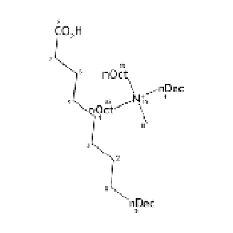 CCCCCCCCCCCCCCCCCC(=O)O.CCCCCCCCCC[N+](C)(CCCCCCCC)CCCCCCCC